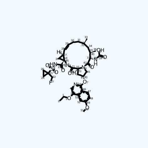 CCOc1cnc(O[C@@H]2C[C@H]3C(=O)N[C@]4(C(=O)NS(=O)(=O)C5(CF)CC5)C[C@H]4C=CCC[C@@H](C)C[C@@H](C)[C@H](NC(=O)O)C(=O)N3C2)c2ccc(OC)cc12